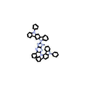 Cn1c(-n2c3ccccc3c3cc4c(cc32)c2ccccc2n4-c2ccccc2)nc2nc(-c3ccccc3)c(-n3c4ccccc4c4ccc5c(c6ccccc6n5-c5ccccc5)c43)nc21